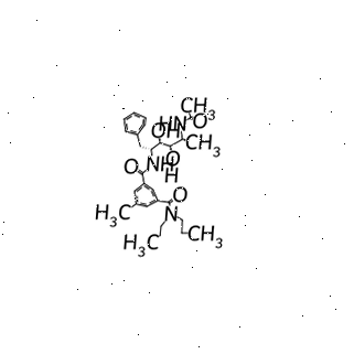 CCCN(CCC)C(=O)c1cc(C)cc(C(=O)N[C@H](Cc2ccccc2)[C@@H](O)[C@H](O)[C@H](C)NC(C)=O)c1